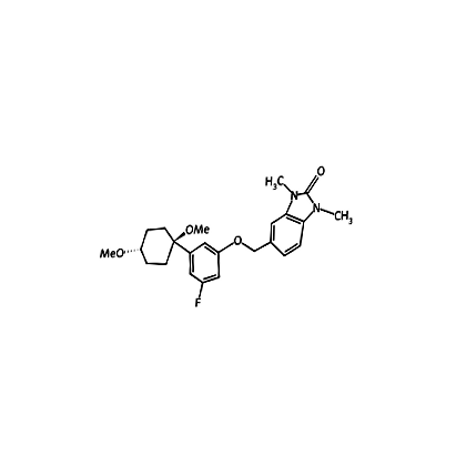 CO[C@H]1CC[C@@](OC)(c2cc(F)cc(OCc3ccc4c(c3)n(C)c(=O)n4C)c2)CC1